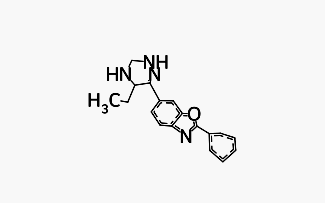 CCC1NCNN=C1c1ccc2nc(-c3ccccc3)oc2c1